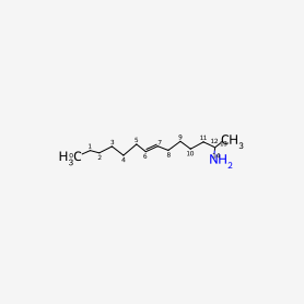 CCCCCCC=CCCCCC(C)N